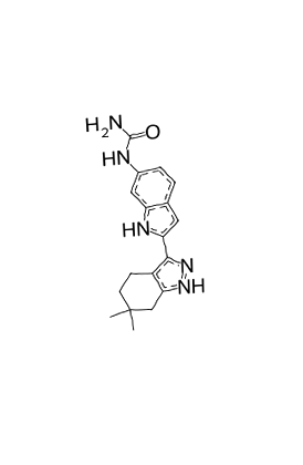 CC1(C)CCc2c(-c3cc4ccc(NC(N)=O)cc4[nH]3)n[nH]c2C1